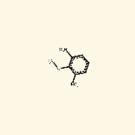 NOc1c([N+](=O)[O-])cccc1[N+](=O)[O-]